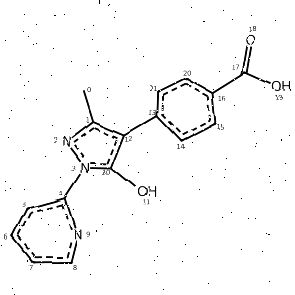 Cc1nn(-c2ccccn2)c(O)c1-c1ccc(C(=O)O)cc1